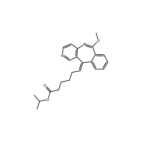 COC1=Nc2ccncc2C(=CCCCCC(=O)OC(C)C)c2ccccc21